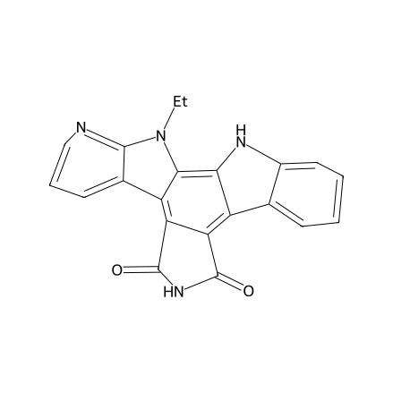 CCn1c2ncccc2c2c3c(c4c5ccccc5[nH]c4c21)C(=O)NC3=O